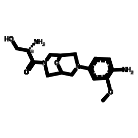 COc1cc(N2CC3CN(C(=O)[C@@H](N)CO)CC(C2)O3)ccc1N